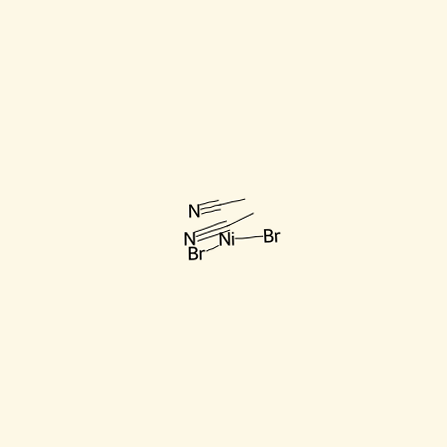 CC#N.CC#N.[Br][Ni][Br]